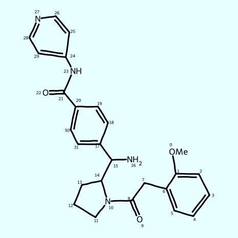 COc1ccccc1CC(=O)N1CCCC1C(N)c1ccc(C(=O)Nc2ccncc2)cc1